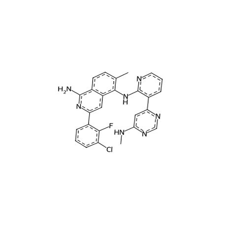 CNc1cc(-c2cccnc2Nc2c(C)ccc3c(N)nc(-c4cccc(Cl)c4F)cc23)ncn1